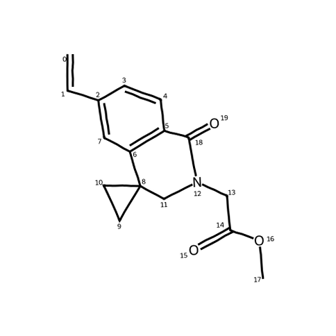 C=Cc1ccc2c(c1)C1(CC1)CN(CC(=O)OC)C2=O